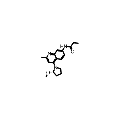 CCC(=O)Nc1ccc2c(N3CCC[C@@H]3OC)cc(C)nc2c1